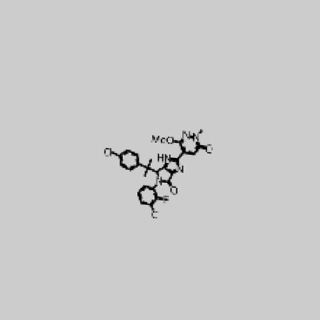 COc1nn(C)c(=O)cc1-c1nc2c([nH]1)C(C(C)(C)c1ccc(Cl)cc1)N(c1cccc(Cl)c1F)C2=O